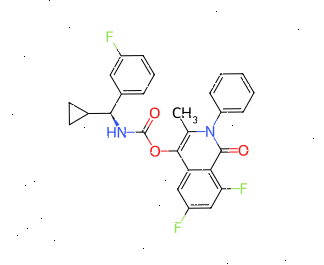 Cc1c(OC(=O)N[C@H](c2cccc(F)c2)C2CC2)c2cc(F)cc(F)c2c(=O)n1-c1ccccc1